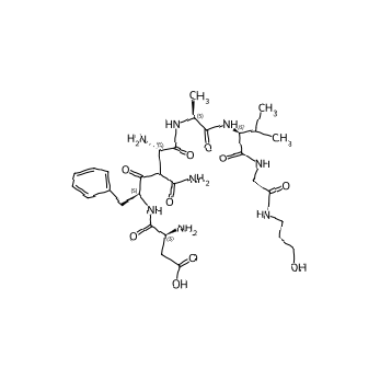 CC(C)[C@H](NC(=O)[C@H](C)NC(=O)[C@@H](N)C(C(N)=O)C(=O)[C@H](Cc1ccccc1)NC(=O)[C@@H](N)CC(=O)O)C(=O)NCC(=O)NCCCO